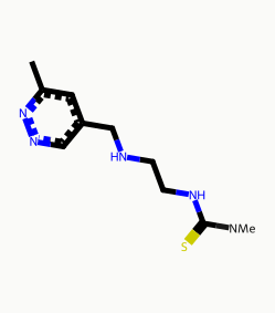 CNC(=S)NCCNCc1cnnc(C)c1